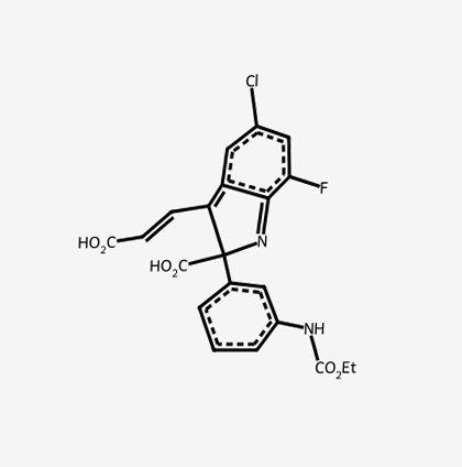 CCOC(=O)Nc1cccc(C2(C(=O)O)N=c3c(F)cc(Cl)cc3=C2C=CC(=O)O)c1